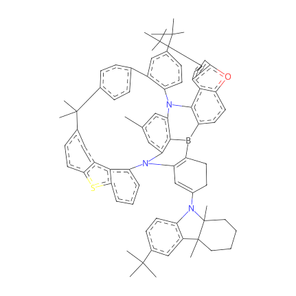 Cc1cc2c3c(c1)N1c4ccc(C(C)(C)C)cc4-c4ccc(cc4)C(C)(C)c4ccc5sc6cccc(c6c5c4)N2C2=C(CCC(N4c5ccc(C(C)(C)C)cc5C5(C)CCCCC45C)=C2)B3c2ccc3oc4ccc(C(C)(C)C)cc4c3c21